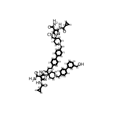 N#CCC1(n2cc(C(N)=O)c(NC(=O)C3CC3)n2)CCN(Cc2ccc(-c3ccc(CCC(C#N)C4(n5cc(C(N)=O)c(NC(=O)C6CC6)n5)CCN(Cc5ccc(-c6cccc(CO)c6)cc5)CC4)cc3)cc2)CC1